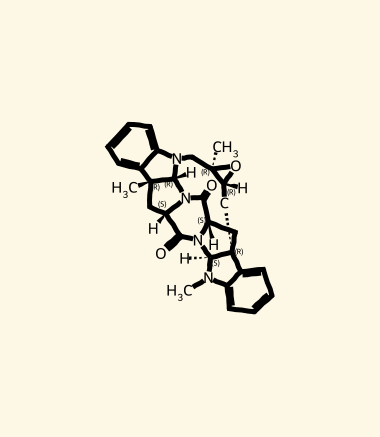 CN1c2ccccc2[C@@]23C[C@H]4C(=O)N5[C@H]6N(C[C@@]7(C)O[C@@H]7C2)c2ccccc2[C@@]6(C)C[C@H]5C(=O)N4[C@H]13